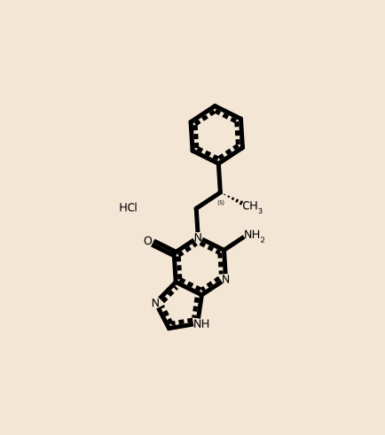 C[C@H](Cn1c(N)nc2[nH]cnc2c1=O)c1ccccc1.Cl